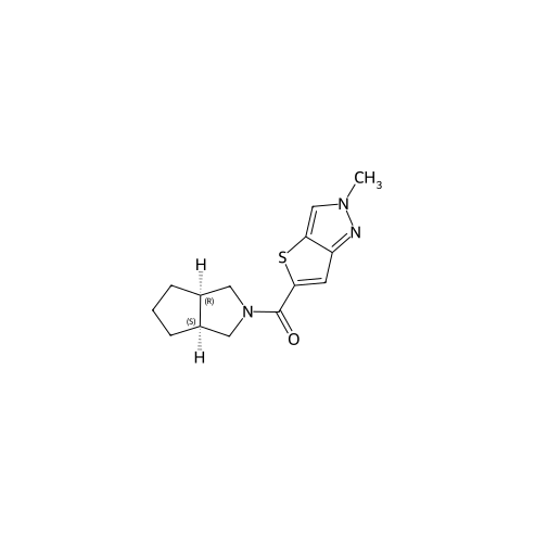 Cn1cc2sc(C(=O)N3C[C@H]4CCC[C@H]4C3)cc2n1